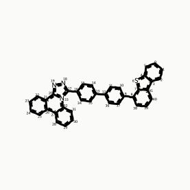 c1ccc2c(c1)sc1c(-c3ccc(-c4ccc(-c5nnc6c7ccccc7c7ccccc7n56)cc4)cc3)cccc12